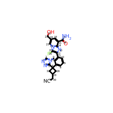 Cn1cnnc1C1(c2cccc(-c3nc4c(C(N)=O)cc(CO)cn4c3F)c2)CC(CC#N)C1